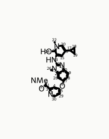 CNC(=O)c1cc(Oc2ccc3nc(NC4=CC(C5CC5)=CN(C)C4O)n(C)c3c2)ccn1